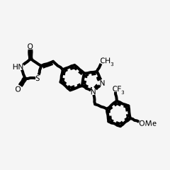 COc1ccc(Cn2nc(C)c3cc(/C=C4\SC(=O)NC4=O)ccc32)c(C(F)(F)F)c1